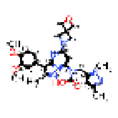 COc1ccc(-c2c(C)nn3c(N(Cc4cc(C)nn4C)C(=O)O)cc(N4CC5(COC5)C4)nc23)cc1OC